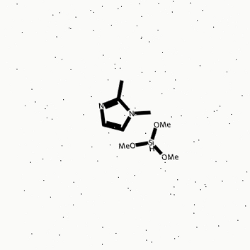 CO[SiH](OC)OC.Cc1nccn1C